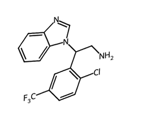 NCC(c1cc(C(F)(F)F)ccc1Cl)n1cnc2ccccc21